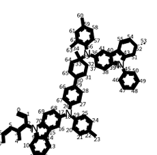 C=C/C(=C(C)\C=C/C)n1c2ccccc2c2cc(N(c3ccc(C)cc3)c3ccc(C4=CCC(C)(N(c5ccc6c(c5)c5c(n6-c6ccccc6)C[C@@H](C)C=C5)c5ccc(C)cc5C)C=C4)cc3)ccc21